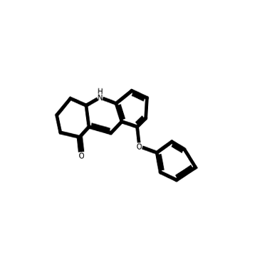 O=C1CCCC2Nc3cccc(Oc4ccccc4)c3C=C12